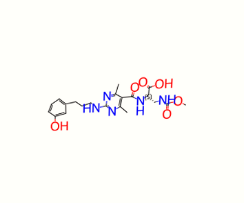 COC(=O)NC[C@H](NC(=O)c1c(C)nc(NCCCc2cccc(O)c2)nc1C)C(=O)O